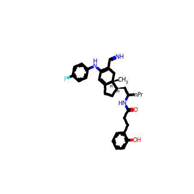 CCCC(C[C@H]1CCC2=CC(Nc3ccc(F)cc3)=C(C=N)C[C@@]21C)NC(=O)CCc1ccccc1O